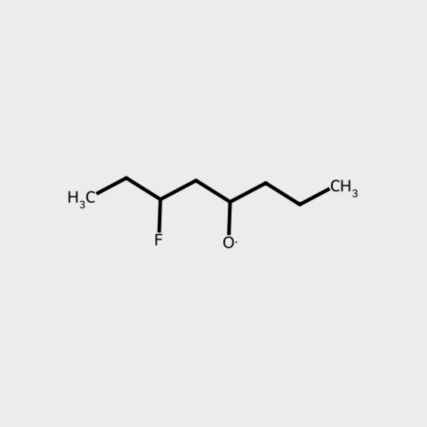 CCCC([O])CC(F)CC